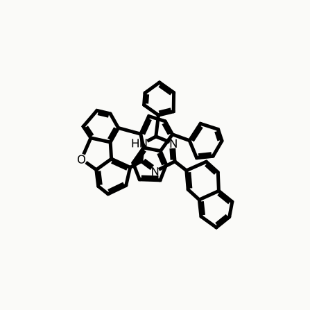 c1ccc(-c2ccc(-c3cccc4oc5cccc(C6=NC(c7ccc8ccccc8c7)=NC(c7ccccc7)N6)c5c34)c3ccccc23)cc1